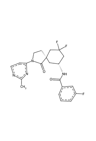 Cc1nccc(N2CC[C@]3(C[C@@H](NC(=O)c4cccc(F)c4)CC(F)(F)C3)C2=O)n1